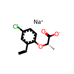 C=Cc1cc(Cl)ccc1O[C@@H](C)C(=O)[O-].[Na+]